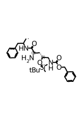 [CH2]C(Cc1ccccc1)NC(=O)[C@@H](N)C[C@H](CNC(=O)OCc1ccccc1)O[Si](C)(C)C(C)(C)C